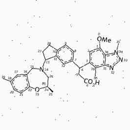 COc1cc(C(CC(=O)O)c2ccc3c(c2)C(N2Cc4cc(C)ccc4O[C@H](C)C2)CC3)c(C)c2nnn(C)c12